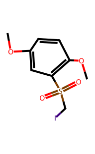 COc1ccc(OC)c(S(=O)(=O)CI)c1